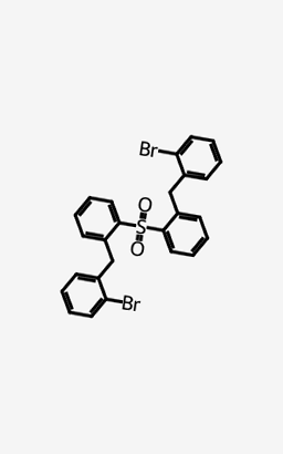 O=S(=O)(c1ccccc1Cc1ccccc1Br)c1ccccc1Cc1ccccc1Br